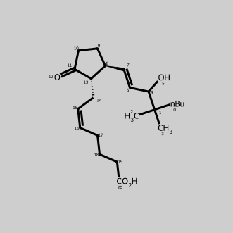 CCCCC(C)(C)C(O)C=C[C@@H]1CCC(=O)[C@H]1C/C=C\CCCC(=O)O